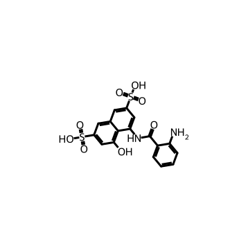 Nc1ccccc1C(=O)Nc1cc(S(=O)(=O)O)cc2cc(S(=O)(=O)O)cc(O)c12